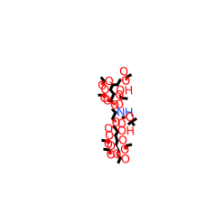 CC(=O)OC[C@@H](O)[C@@H](OC(C)=O)[C@H](OC(C)=O)[C@@H](OC(C)=O)C(=O)OCC(COC(=O)[C@H](O)[C@@H](OC(C)=O)[C@H](OC(C)=O)[C@@H](COC(C)=O)OC(C)=O)NC(=O)OC(C)(C)C